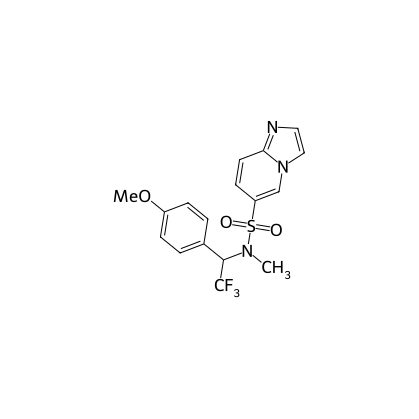 COc1ccc(C(N(C)S(=O)(=O)c2ccc3nccn3c2)C(F)(F)F)cc1